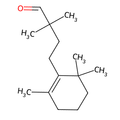 CC1=C(CCC(C)(C)C=O)C(C)(C)CCC1